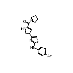 CC(=O)c1ccc(Nc2nc(-c3c[nH]c(C(=O)N4CCCC4)c3)cs2)cc1